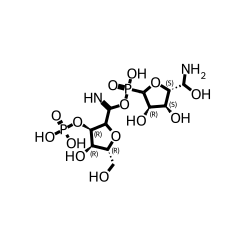 N=C(OP(=O)(O)[C]1O[C@H](C(N)O)[C@@H](O)[C@H]1O)C1O[C@H](CO)[C@@H](O)[C@H]1OP(=O)(O)O